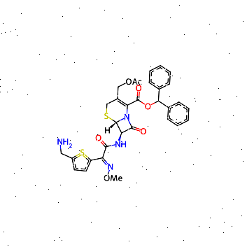 CON=C(C(=O)N[C@@H]1C(=O)N2C(C(=O)OC(c3ccccc3)c3ccccc3)=C(COC(C)=O)CS[C@@H]12)c1ccc(CN)s1